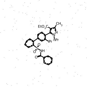 CCCn1nc(C)c(C(=O)OCC)c1-c1ccc(-c2ccccc2S(=O)(=O)NC(=O)c2ccccc2)cc1C(C)C